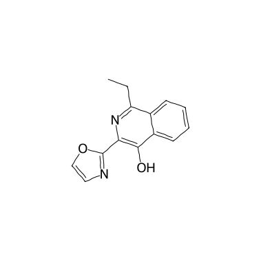 CCc1nc(-c2ncco2)c(O)c2ccccc12